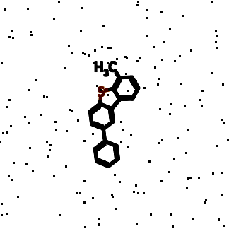 Cc1cccc2c1sc1ccc(-c3ccccc3)cc12